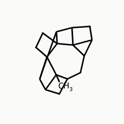 CC12C3CC1C1C4C5CC6C(C3)C65C43CCC123